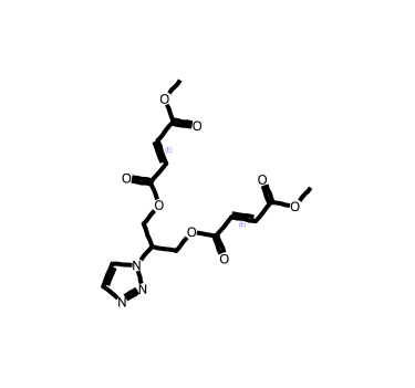 COC(=O)/C=C/C(=O)OCC(COC(=O)/C=C/C(=O)OC)n1ccnn1